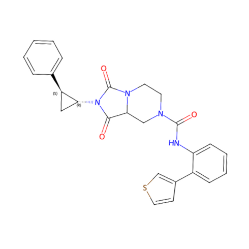 O=C(Nc1ccccc1-c1ccsc1)N1CCN2C(=O)N([C@@H]3C[C@H]3c3ccccc3)C(=O)C2C1